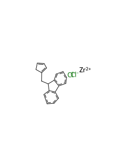 C1=CCC(CC2c3ccccc3-c3ccccc32)=C1.[Cl-].[Cl-].[Zr+2]